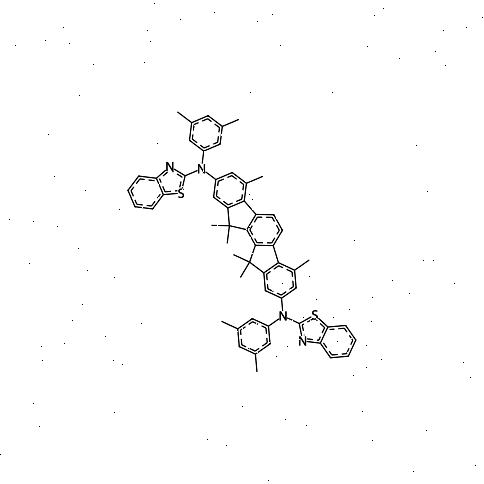 Cc1cc(C)cc(N(c2cc(C)c3c(c2)C(C)(C)c2c-3ccc3c2C(C)(C)c2cc(N(c4cc(C)cc(C)c4)c4nc5ccccc5s4)cc(C)c2-3)c2nc3ccccc3s2)c1